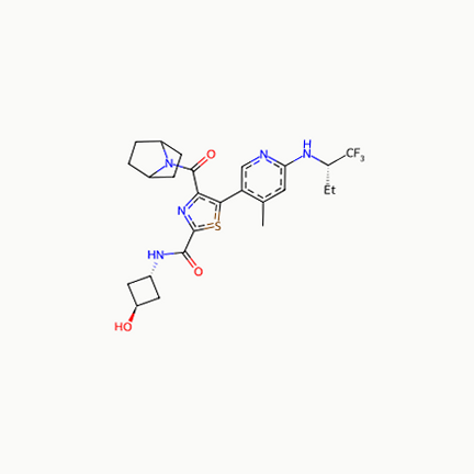 CC[C@H](Nc1cc(C)c(-c2sc(C(=O)N[C@H]3C[C@H](O)C3)nc2C(=O)N2C3CCC2CC3)cn1)C(F)(F)F